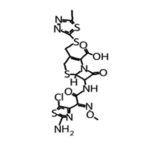 CON=C(C(=O)NC1C(=O)N2C(C(=O)O)=C(CSc3nnc(C)s3)CS[C@@H]12)c1nc(N)sc1Cl